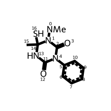 CNN1C(=O)N(c2ccccc2)C(=O)NC1(C)S